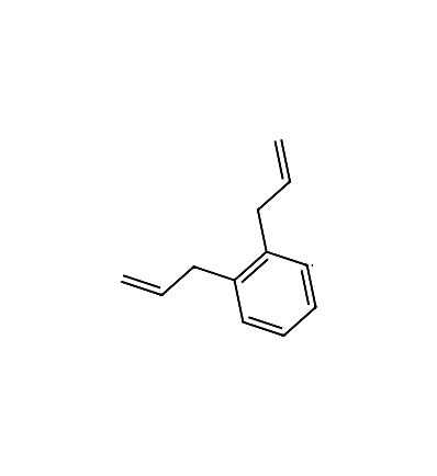 C=CCc1[c]cccc1CC=C